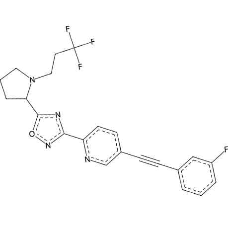 Fc1cccc(C#Cc2ccc(-c3noc(C4CCCN4CCC(F)(F)F)n3)nc2)c1